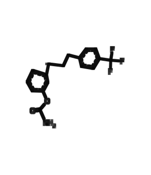 NC(=O)Oc1cccc([CH]CCc2ccc(C(F)(F)F)cc2)c1